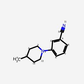 CC1CCN(c2cccc(C#N)c2)CC1